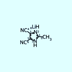 Cc1nc(C#N)c(C#N)[nH]1.[LiH]